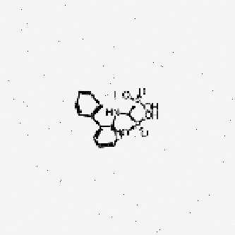 O=P(O)(O)C(Nc1ncccc1-c1ccccc1)P(=O)(O)O